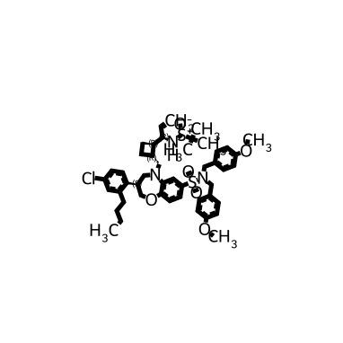 C=C[C@@H](N[S+]([O-])C(C)(C)C)[C@@H]1CC[C@H]1CN1C[C@H](c2ccc(Cl)cc2CCCC)COc2ccc(S(=O)(=O)N(Cc3ccc(OC)cc3)Cc3ccc(OC)cc3)cc21